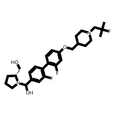 CC(C)(F)CN1CCC(COc2ccc(-c3ccc(C(O)N4CCC[C@@H]4CO)cc3F)c(F)c2)CC1